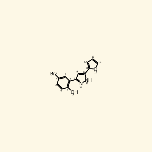 Oc1ccc(Br)cc1-c1cc(-c2ccco2)[nH]n1